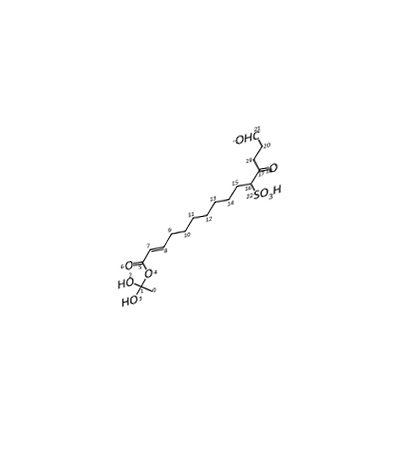 CC(O)(O)OC(=O)C=CCCCCCCCC(C(=O)CC[C]=O)S(=O)(=O)O